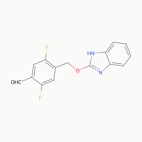 O=Cc1cc(F)c(COc2nc3ccccc3[nH]2)cc1F